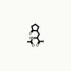 CC(=O)NC(CC1CCCC1=O)C(=O)I